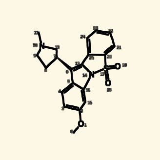 COc1ccc2c([C@H]3CCN(C)C3)c3n(c2c1)S(=O)(=O)c1ccccc1-3